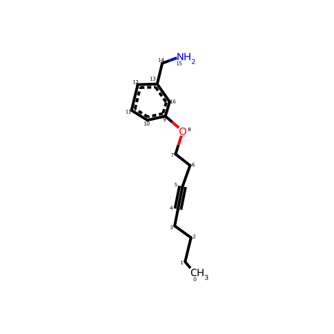 CCCCC#CCCOc1cccc(CN)c1